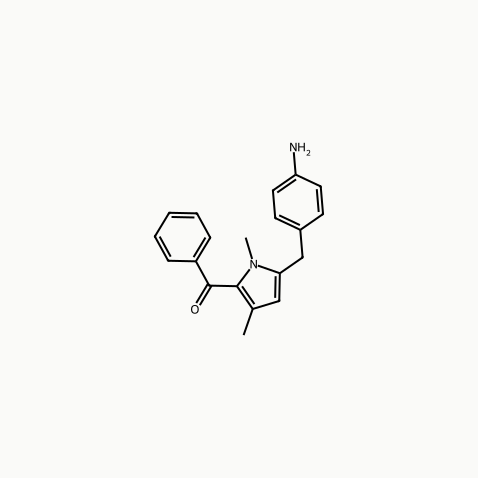 Cc1cc(Cc2ccc(N)cc2)n(C)c1C(=O)c1ccccc1